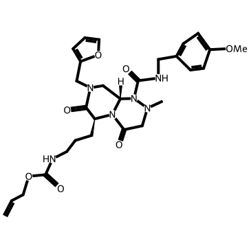 C=CCOC(=O)NCCC[C@H]1C(=O)N(Cc2ccco2)C[C@H]2N1C(=O)CN(C)N2C(=O)NCc1ccc(OC)cc1